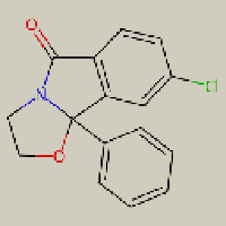 O=C1c2ccc(Cl)cc2C2(c3ccccc3)OCCN12